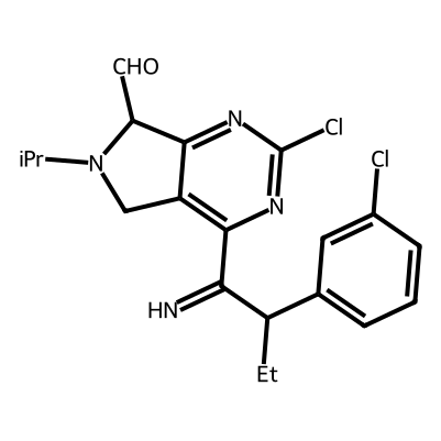 CCC(C(=N)c1nc(Cl)nc2c1CN(C(C)C)C2C=O)c1cccc(Cl)c1